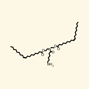 CCCCCCCC/C=C\CCCCCCCC(=O)OCCN(CCOC(=O)CCCCCCC/C=C\CCCCCCCC)C(=O)CCCCCN